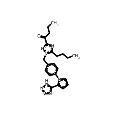 CCCCc1nc(C(=O)CCC)nn1Cc1ccc(-n2cccc2-c2nnn[nH]2)cc1